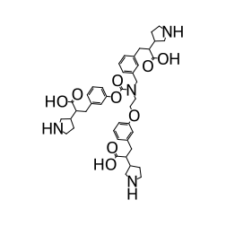 O=C(O)C(Cc1cccc(CN(CCOc2cccc(CC(C(=O)O)C3CCNC3)c2)C(=O)Oc2cccc(CC(C(=O)O)C3CCNC3)c2)c1)C1CCNC1